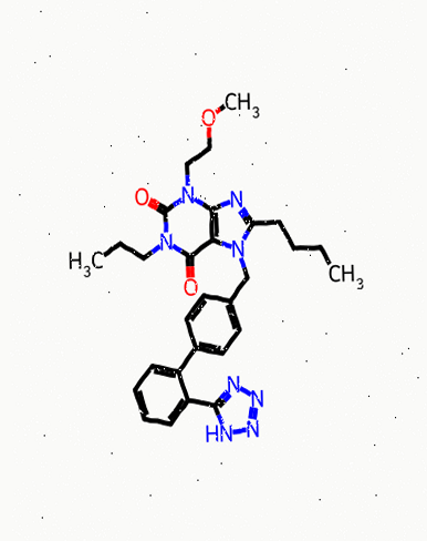 CCCCc1nc2c(c(=O)n(CCC)c(=O)n2CCOC)n1Cc1ccc(-c2ccccc2-c2nnn[nH]2)cc1